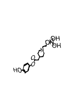 O=C(CC1CCN(CCON(O)O)CC1)Oc1ccc(O)cc1